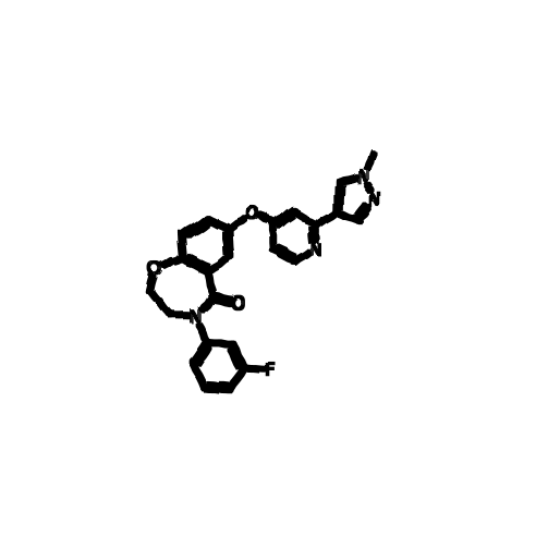 Cn1cc(-c2cc(Oc3ccc4c(c3)C(=O)N(c3cccc(F)c3)CCO4)ccn2)cn1